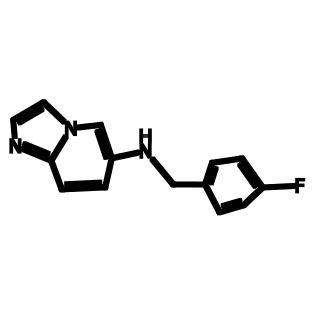 Fc1ccc(CNc2ccc3nccn3c2)cc1